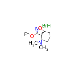 Br.CCOc1noc2c1[C@H](N(C)C)CCC2